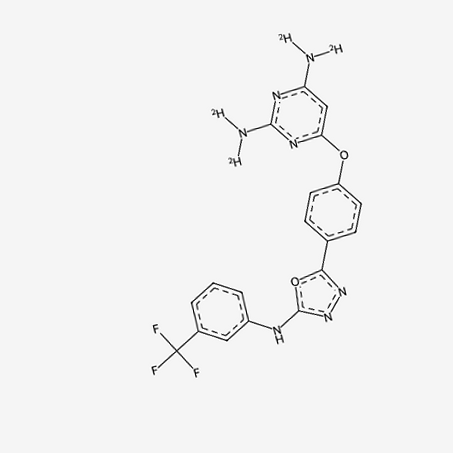 [2H]N([2H])c1cc(Oc2ccc(-c3nnc(Nc4cccc(C(F)(F)F)c4)o3)cc2)nc(N([2H])[2H])n1